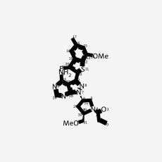 C=CC(=O)N1C[C@@H](n2nc(-c3sc4c(OC)cc(C)cc4c3F)c3c(N)ncnc32)C[C@@H]1COC